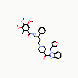 COc1cc(C(=O)NCC(CCN2CCC(C(=O)c3nc4ccccc4n3Cc3ccoc3)CC2)c2ccccc2)c(C)c(OC)c1OC